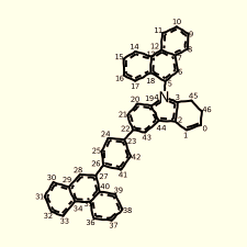 C1=Cc2c(n(-c3cc4ccccc4c4ccccc34)c3ccc(-c4ccc(-c5cc6ccccc6c6ccccc56)cc4)cc23)CC1